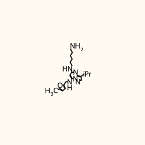 Cc1ccc(CNc2cc(NCCCCCCN)nc3c(C(C)C)cnn23)o1